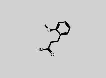 COc1ccccc1CCC([NH])=O